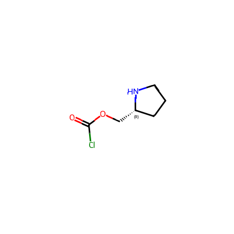 O=C(Cl)OC[C@H]1CCCN1